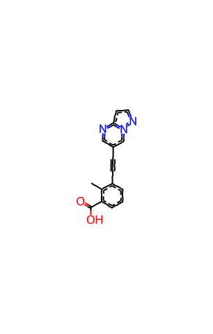 Cc1c(C#Cc2cnc3ccnn3c2)cccc1C(=O)O